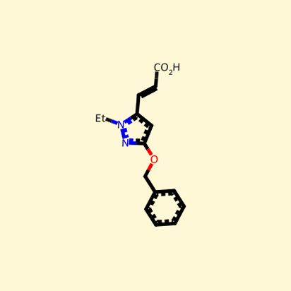 CCn1nc(OCc2ccccc2)cc1C=CC(=O)O